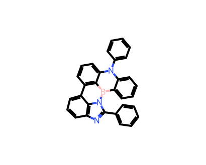 c1ccc(-c2nc3cccc4c3n2B2c3ccccc3N(c3ccccc3)c3cccc-4c32)cc1